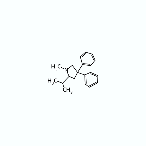 CC(C)C1CC(c2ccccc2)(c2ccccc2)CN1C